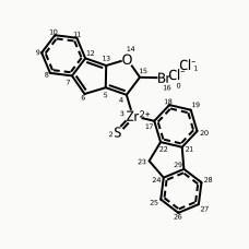 [Cl-].[Cl-].[S]=[Zr+2]([C]1=C2C=c3ccccc3=C2OC1Br)[c]1cccc2c1Cc1ccccc1-2